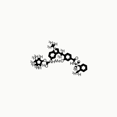 [2H]C([2H])([2H])c1ccccc1S(=O)(=O)NC(=O)c1ccc(C([2H])([2H])c2cn(C([2H])([2H])[2H])c3ccc(NC(=O)OC4C([2H])([2H])C([2H])([2H])C([2H])([2H])C4([2H])[2H])cc23)c(OC)c1